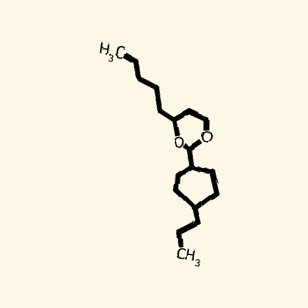 CCCCCC1CCOC(C2CCC(CCC)CC2)O1